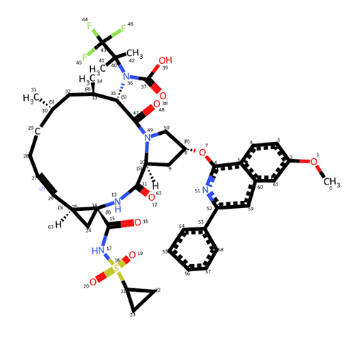 COc1ccc2c(O[C@@H]3C[C@H]4C(=O)N[C@]5(C(=O)NS(=O)(=O)C6CC6)C[C@H]5/C=C\CC[C@H](C)C[C@@H](C)[C@H](N(C(=O)O)C(C)(C)C(F)(F)F)C(=O)N4C3)nc(-c3ccccc3)cc2c1